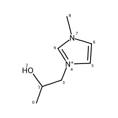 CC(O)C[n+]1ccn(C)c1